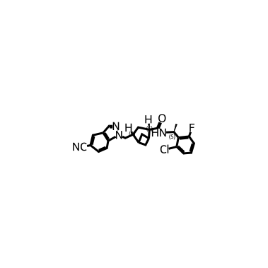 C[C@H](NC(=O)[C@H]1C[C@@H](Cn2ncc3cc(C#N)ccc32)C2CC1C2)c1c(F)cccc1Cl